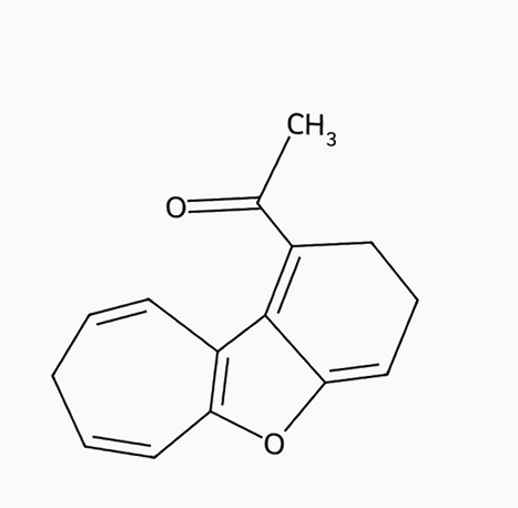 CC(=O)C1=c2c3c(oc2=CCC1)C=CCC=C3